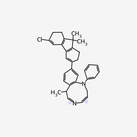 CC1/C=N\C=C/CN(c2ccccc2)c2cc(C3=CC4=C(CC3)C(C)(C)C3=C4C=C(Cl)CC3)ccc21